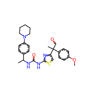 COc1ccc(C(C)(C=O)c2csc(NC(=O)NC(C)c3ccc(N4CCCCC4)cc3)n2)cc1